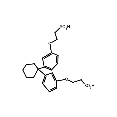 O=S(=O)(O)CCOc1cccc(C2(c3cccc(OCCS(=O)(=O)O)c3)CCCCC2)c1